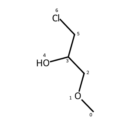 COCC(O)CCl